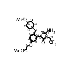 COCCOc1ccc(C[C@H]2CC[C@@H](OC)CC2)c(C2N=C(N)N(CC(F)(F)F)C2=O)c1